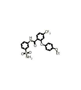 CCOc1ccc(Oc2cc(C(F)(F)F)ccc2C(=O)Nc2cccc(S(N)(=O)=O)c2)cc1